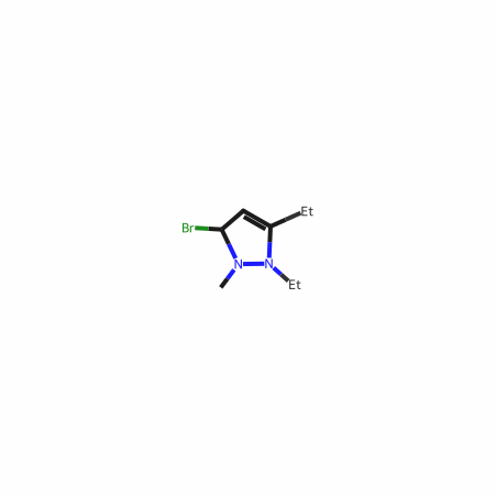 CCC1=CC(Br)N(C)N1CC